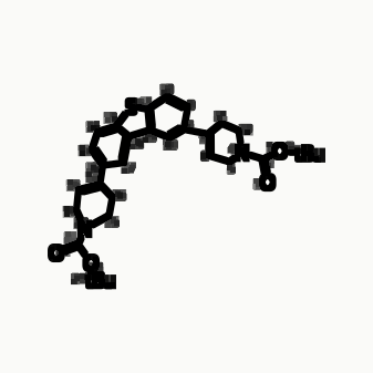 CC(C)(C)OC(=O)N1CC=C(c2ccc3sc4ccc(C5=CCN(C(=O)OC(C)(C)C)CC5)cc4c3c2)CC1